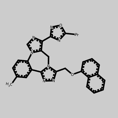 Cc1ccc2c(c1)-c1nnc(COc3cccc4ccccc34)n1Cc1c(-c3noc(C(C)C)n3)ncn1-2